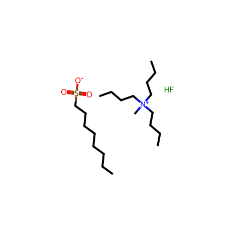 CCCCCCCCS(=O)(=O)[O-].CCCC[N+](C)(CCCC)CCCC.F